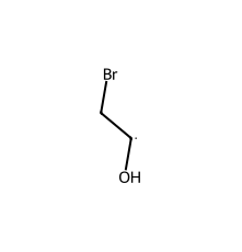 O[CH]CBr